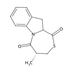 C[C@H]1CSC(=O)C2Cc3ccccc3N2C1=O